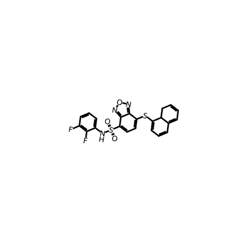 O=S(=O)(Nc1cccc(F)c1F)c1ccc(SC2=CC=CC3=CC=CCC32)c2nonc12